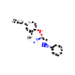 COc1ccc(O/C(N)=C/Nc2ccccc2)c(C(C)C)c1